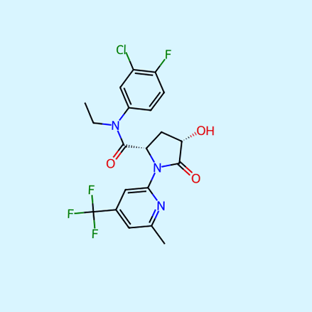 CCN(C(=O)[C@@H]1C[C@H](O)C(=O)N1c1cc(C(F)(F)F)cc(C)n1)c1ccc(F)c(Cl)c1